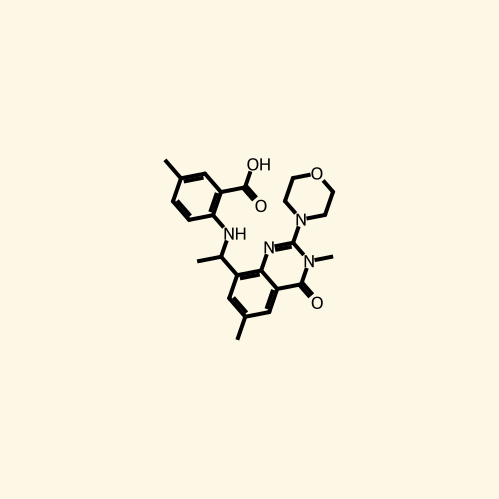 Cc1ccc(NC(C)c2cc(C)cc3c(=O)n(C)c(N4CCOCC4)nc23)c(C(=O)O)c1